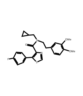 COc1ccc(CCN(CC2CC2)C(=O)c2ncsc2-c2ccc(F)cc2)cc1OC